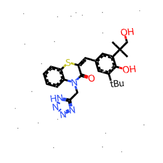 CC(C)(C)c1cc(C=C2Sc3ccccc3N(Cc3nnn[nH]3)C2=O)cc(C(C)(C)CO)c1O